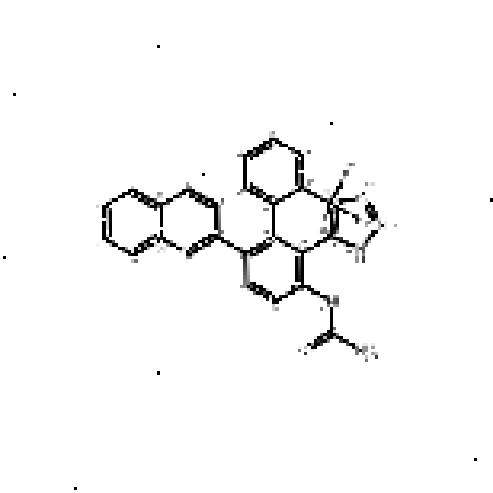 NC(=O)Nc1ccc(-c2ccc3ccccc3c2)c(-c2ccccc2C(F)(F)F)c1-c1nnn[nH]1